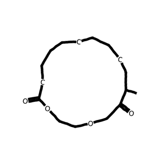 CC1CCCCCCCCCC(=O)OCCOCC1=O